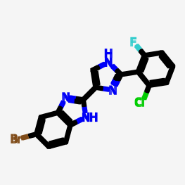 Fc1cccc(Cl)c1-c1nc(-c2nc3cc(Br)ccc3[nH]2)c[nH]1